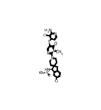 Cn1c(N2CCC3(CC2)Cc2ccc(Cl)cc2[C@H]3N[S@+]([O-])C(C)(C)C)ncc(Sc2ccnc(N)c2Cl)c1=O